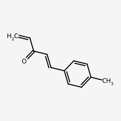 C=CC(=O)C=Cc1ccc(C)cc1